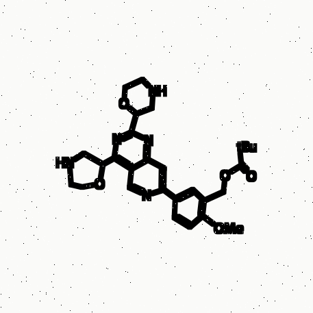 COc1ccc(-c2cc3nc(C4CNCCO4)nc(C4CNCCO4)c3cn2)cc1COC(=O)C(C)(C)C